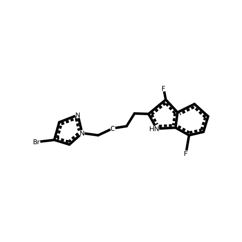 Fc1c(CCCCn2cc(Br)cn2)[nH]c2c(F)cccc12